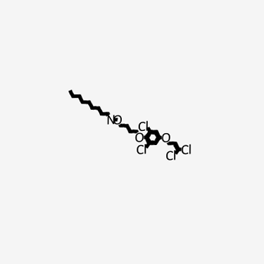 CCCCCCCCC=NOCCCCOc1c(Cl)cc(OCC=C(Cl)Cl)cc1Cl